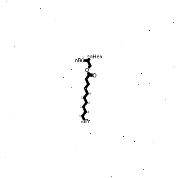 CCCCCCC(CCCC)COC(=O)CCCCCCCCCC(C)C